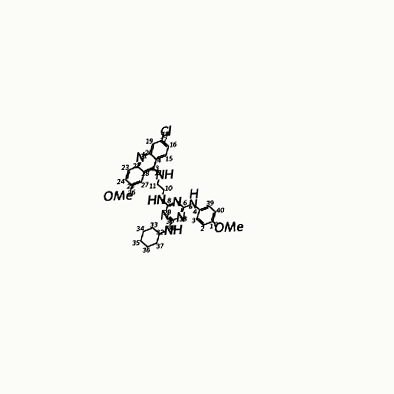 COc1ccc(Nc2nc(NCCNc3c4ccc(Cl)cc4nc4ccc(OC)cc34)nc(NC3CCCCC3)n2)cc1